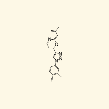 C=C(C)/C=C(\N=C/C)OCc1cn(-c2ccc(F)c(C)c2)nn1